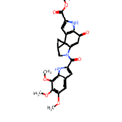 COC(=O)c1cc2c([nH]1)C(=O)C=C1N(C(=O)c3cc4cc(OC)c(OC)c(OC)c4[nH]3)CC3CC123